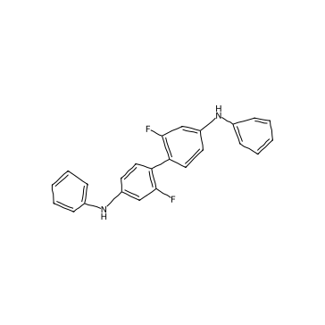 Fc1cc(Nc2ccccc2)ccc1-c1ccc(Nc2ccccc2)cc1F